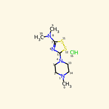 CN1CCN(C2N=C(N(C)C)SS2)CC1.Cl